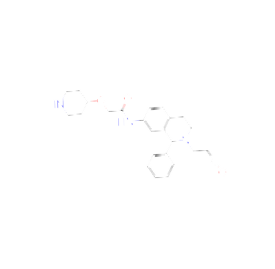 O=C=CCN1CCc2ccc(NC(=O)COC3CCNCC3)cc2C1c1ccccc1